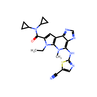 CCn1c(C(=O)N(C2CC2)C2CC2)cc2c3ncnc-3c(Nc3ncc(C#N)s3)n(C)c21